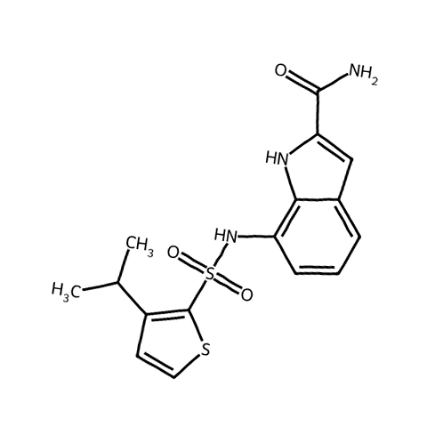 CC(C)c1ccsc1S(=O)(=O)Nc1cccc2cc(C(N)=O)[nH]c12